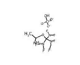 CC(N)OC(N(F)F)(N(F)F)N(F)F.[O-][Cl+3]([O-])([O-])O